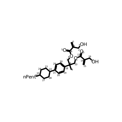 C=C(CO)C(=O)OCC(C)(COC(=O)C(=C)CO)c1ccc(C2CCC(CCCCC)CC2)cc1